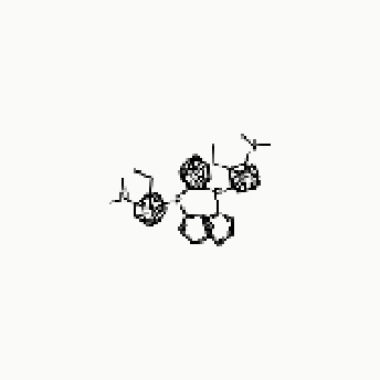 CC[C]12[C]3(N(C)C)[CH]4[CH]5[C]1(P(c1ccccc1)[C]16[CH]7[CH]8[CH]9[C]1(P(c1ccccc1)[C]1%10[CH]%11[CH]%12[C]%13(N(C)C)[C]1(CC)[Fe]%12%11%13%101%14%15%16[CH]%10[CH]1[CH]%14[CH]%15[CH]%10%16)[Fe]87961%10%11%12[CH]6[CH]1[CH]%10[CH]%11[CH]6%12)[Fe]45321678[CH]2[CH]1[CH]6[CH]7[CH]28